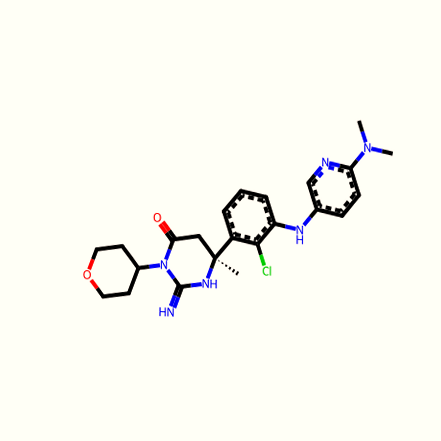 CN(C)c1ccc(Nc2cccc([C@]3(C)CC(=O)N(C4CCOCC4)C(=N)N3)c2Cl)cn1